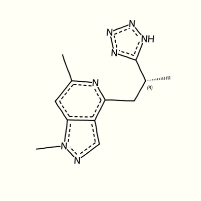 Cc1cc2c(cnn2C)c(C[C@@H](C)c2nnn[nH]2)n1